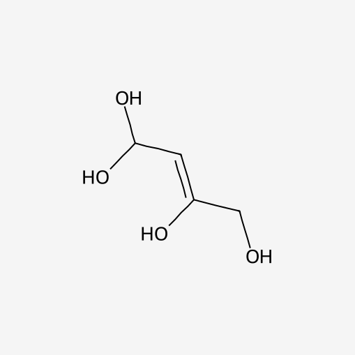 OCC(O)=CC(O)O